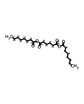 CCCCCCCC(=O)OC(=O)CCCCC(=O)OC(=O)CCCCCCC